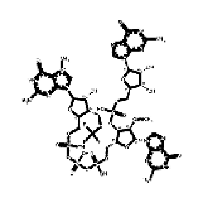 CO[C@@H]1[C@H](OP(=O)(O)OC[C@H]2O[C@@H](n3cnc4c(=O)[nH]c(N)nc43)[C@H](O)[C@@H]2O)[C@@H](COP(=O)(O)OP(=O)(O)OP(=O)(O)OC[C@H]2OC(n3c[n+](C)c4c(=O)[nH]c(N)nc43)[C@H](O)[C@@H]2CSC(F)(F)F)O[C@H]1n1cnc2c(=O)[nH]c(N)nc21